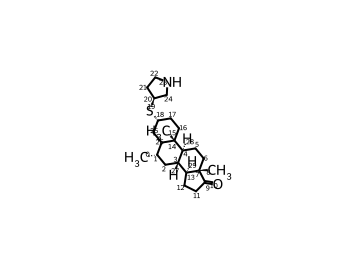 C[C@H]1C[C@@H]2[C@H](CC[C@]3(C)C(=O)CC[C@@H]23)[C@@]2(C)CC[C@@H](S[C@H]3CCNC3)CC12